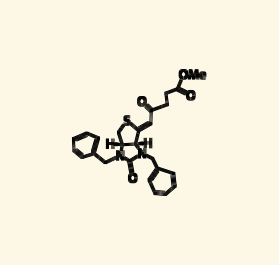 COC(=O)CCC(=O)C=C1SC[C@@H]2[C@H]1N(Cc1ccccc1)C(=O)N2Cc1ccccc1